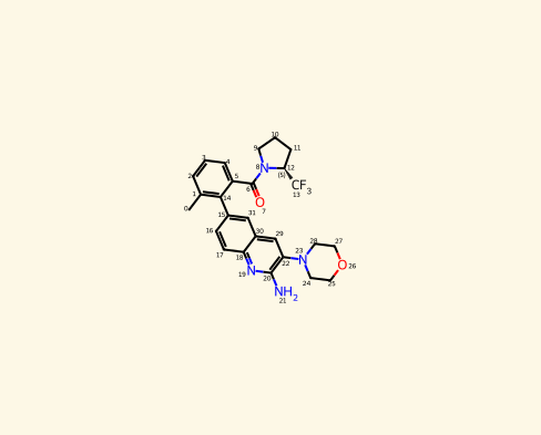 Cc1cccc(C(=O)N2CCC[C@H]2C(F)(F)F)c1-c1ccc2nc(N)c(N3CCOCC3)cc2c1